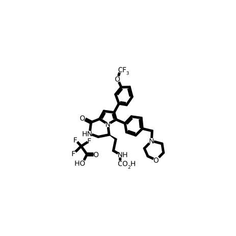 O=C(O)C(F)(F)F.O=C(O)NCC[C@H]1CNC(=O)c2cc(-c3cccc(OC(F)(F)F)c3)c(-c3ccc(CN4CCOCC4)cc3)n21